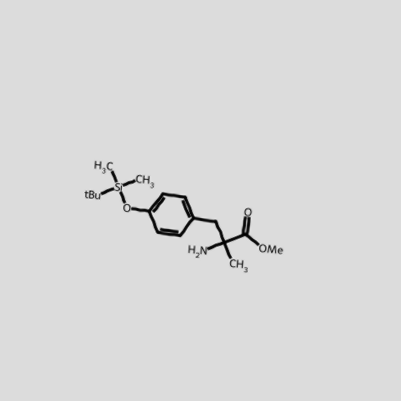 COC(=O)C(C)(N)Cc1ccc(O[Si](C)(C)C(C)(C)C)cc1